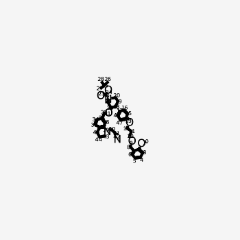 COc1ccccc1COCCCOc1ccc([C@H]2CCN(C(=O)OC(C)(C)C)C[C@@H]2OCc2ccc3c(c2)N(CC#N)CCC3)cc1